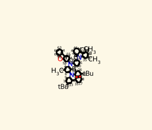 Cc1cc2c3c(c1)N(c1ccc(C(C)(C)C)cc1-c1ccccc1)c1ccc(C(C)(C)C)cc1B3c1ccc(N3c4cc(C)cc(C)c4C4(C)CCCCC34C)cc1N2c1ccc2c(c1)oc1ccccc12